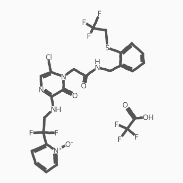 O=C(Cn1c(Cl)cnc(NCC(F)(F)c2cccc[n+]2[O-])c1=O)NCc1ccccc1SCC(F)(F)F.O=C(O)C(F)(F)F